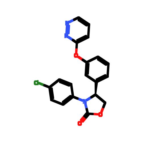 O=C1OC[C@H](c2cccc(Oc3cccnn3)c2)N1c1ccc(Cl)cc1